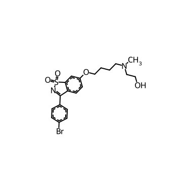 CN(CCO)CCCCOc1ccc2c(c1)S(=O)(=O)N=C2c1ccc(Br)cc1